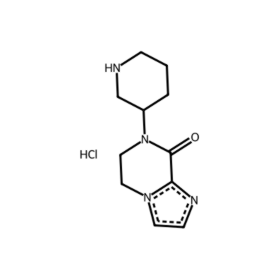 Cl.O=C1c2nccn2CCN1C1CCCNC1